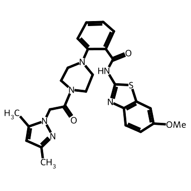 COc1ccc2nc(NC(=O)c3ccccc3N3CCN(C(=O)Cn4nc(C)cc4C)CC3)sc2c1